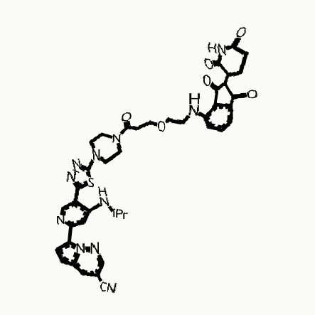 CC(C)Nc1cc(-c2ccc3cc(C#N)cnn23)ncc1-c1nnc(N2CCN(C(=O)CCOCCNc3cccc4c3C(=O)C(C3CCC(=O)NC3=O)C4=O)CC2)s1